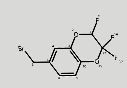 FC1Oc2cc(CBr)ccc2OC1(F)F